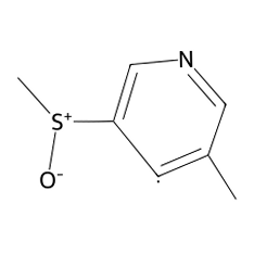 Cc1[c]c([S+](C)[O-])cnc1